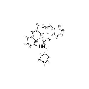 O=C(NCc1ccccc1)c1c2c(nc3ccccc13)CCN(Cc1ccccc1)C2